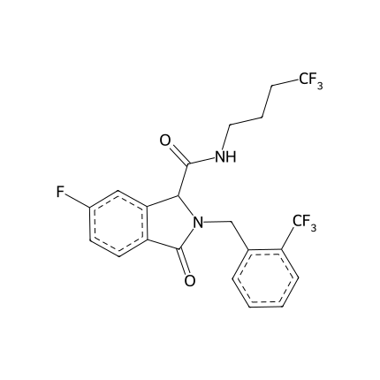 O=C(NCCCC(F)(F)F)C1c2cc(F)ccc2C(=O)N1Cc1ccccc1C(F)(F)F